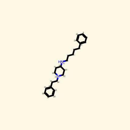 c1ccc(CCCCCNC2CCN(CCc3ccccc3)CC2)cc1